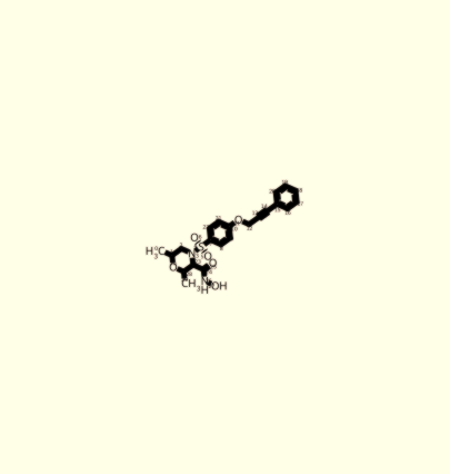 CC1CN(S(=O)(=O)c2ccc(OCC#Cc3ccccc3)cc2)C(C(=O)NO)C(C)O1